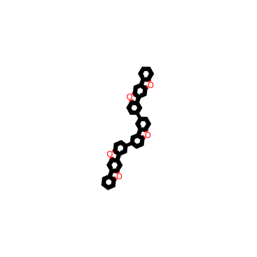 c1ccc2c(c1)oc1cc3c(cc12)oc1ccc(-c2ccc4oc5ccc(-c6ccc7oc8cc9c(cc8c7c6)oc6ccccc69)cc5c4c2)cc13